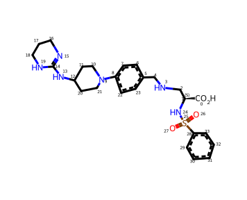 O=C(O)[C@H](CNCc1ccc(N2CCC(NC3=NCCCN3)CC2)cc1)NS(=O)(=O)c1ccccc1